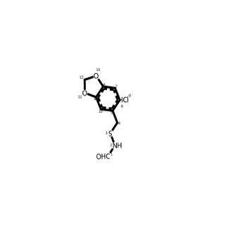 Cl.O=CNSCc1ccc2c(c1)OCO2